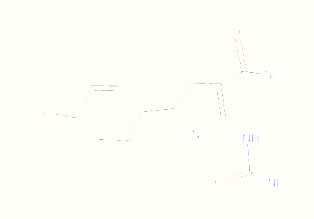 COc1ccc(-c2cc(C(N)=O)c(NC(N)=O)[nH]2)cc1